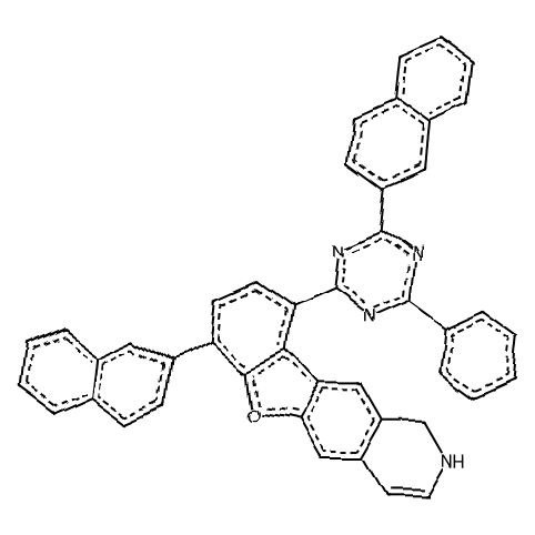 C1=Cc2cc3oc4c(-c5ccc6ccccc6c5)ccc(-c5nc(-c6ccccc6)nc(-c6ccc7ccccc7c6)n5)c4c3cc2CN1